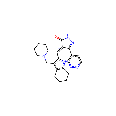 O=C1NN=C(c2ccnnc2)/C1=C\c1[nH]c2c(c1CN1CCCCC1)CCCC2